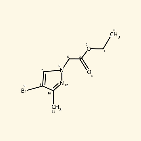 CCOC(=O)Cn1cc(Br)c(C)n1